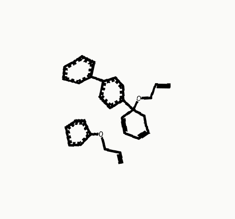 C=CCOC1(c2ccc(-c3ccccc3)cc2)C=CC=CC1.C=CCOc1ccccc1